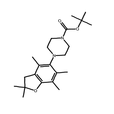 Cc1c(C)c(N2CCN(C(=O)OC(C)(C)C)CC2)c(C)c2c1OC(C)(C)C2